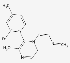 C=N/C=C\N1CC=NC(C)=C1c1ccc(C)cc1CC